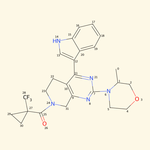 CC1COCCN1c1nc2c(c(-c3c[nH]c4ccccc34)n1)CCN(C(=O)C1(C(F)(F)F)CC1)C2